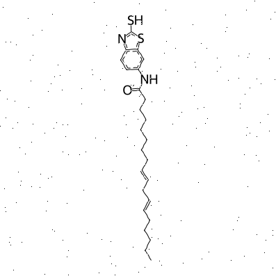 CCCCCC=CCC=CCCCCCCCC(=O)Nc1ccc2nc(S)sc2c1